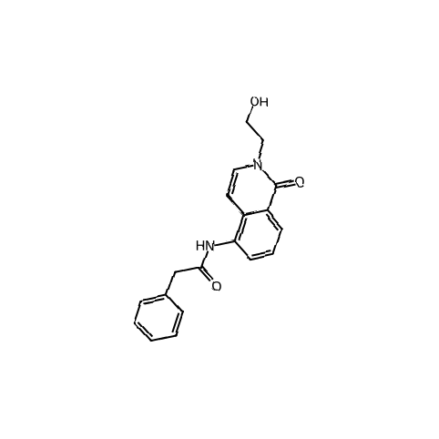 O=C(Cc1ccccc1)Nc1cccc2c(=O)n(CCO)ccc12